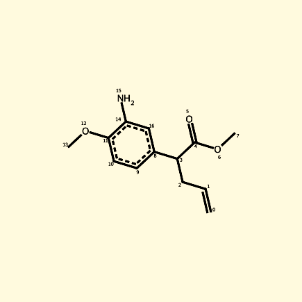 C=CCC(C(=O)OC)c1ccc(OC)c(N)c1